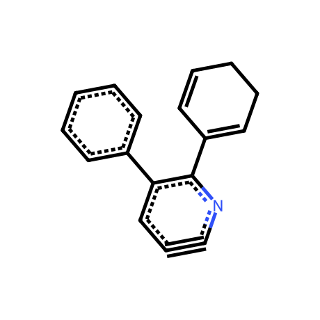 c1cc(-c2ccccc2)c(C2=CCCC=C2)nc#1